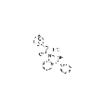 Cl.O=C(Nc1ccccc1C(O)c1ccccc1)OC1CN2CCC1CC2